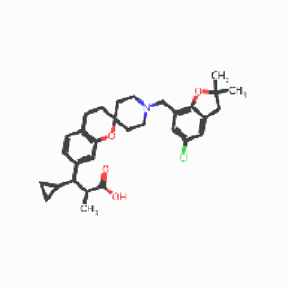 CC(C(=O)O)C(c1ccc2c(c1)OC1(CC2)CCN(Cc2cc(Cl)cc3c2OC(C)(C)C3)CC1)C1CC1